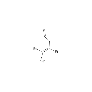 C=CCC(CC)=C(CC)CCC